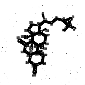 C[C@H](CCC1OC1(C)C)[C@H]1CC[C@H]2[C@@H]3C(=O)CC4CC(=O)CC[C@]4(C)[C@H]3CC[C@]12C